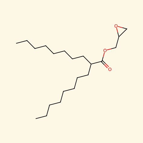 CCCCCCCCC(CCCCCCCC)C(=O)OCC1CO1